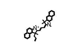 C=CCC1(C)C(/C=C/C=C2/N(C)c3cc4ccccc4cc3C2(C)C)=[N+](C)c2ccc3ccccc3c21